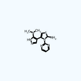 CN(C)c1[nH]ncc1C1=CSC(N)N1c1ncccn1